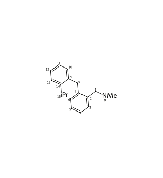 CNCc1ccccc1Cc1ccccc1C(C)C